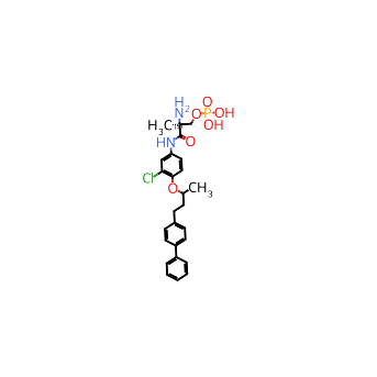 CC(CCc1ccc(-c2ccccc2)cc1)Oc1ccc(NC(=O)[C@@](C)(N)COP(=O)(O)O)cc1Cl